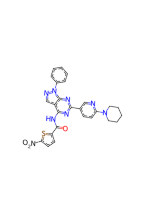 O=C(Nc1nc(-c2ccc(N3CCCCC3)nc2)nc2c1cnn2-c1ccccc1)c1ccc([N+](=O)[O-])s1